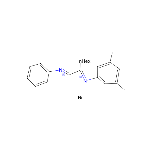 CCCCCCC(/C=N/c1ccccc1)=N\c1cc(C)cc(C)c1.[Ni]